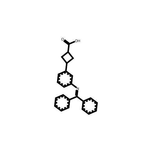 O=C(O)C1CC(c2cccc(N=C(c3ccccc3)c3ccccc3)c2)C1